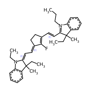 CCC[N+]1=C(/C=C/C2=C(F)C(=C/C=C3/N(CC)c4ccccc4C3(C)CC)/CC2)C(C)(CC)c2ccccc21